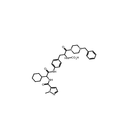 Cn1nccc1C(=O)NC(C(=O)Nc1ccc(CC(NC(=O)O)C(=O)N2CCN(Cc3ccccc3)CC2)cc1)C1CCCCC1